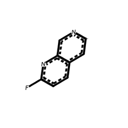 Fc1ccc2c[c]ncc2n1